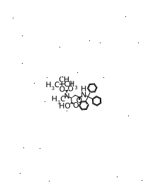 CN(C(=O)OC(C)(C)C)[C@@H](CC(=O)NC(c1ccccc1)(c1ccccc1)c1ccccc1)C(=O)O